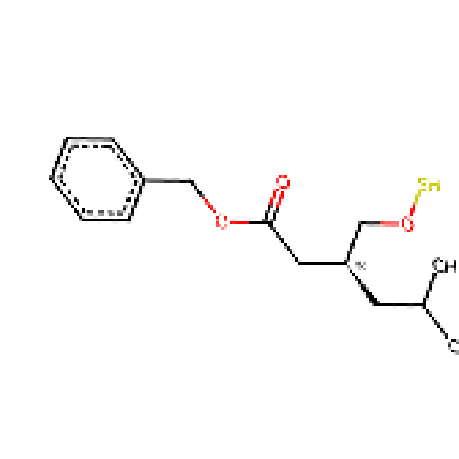 CC(C)C[C@H](COS)CC(=O)OCc1ccccc1